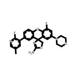 Cc1cnc(F)c(-c2ccc3c(c2)C2(COC(N)=N2)c2cc(N4CCOCC4)cc(F)c2O3)c1